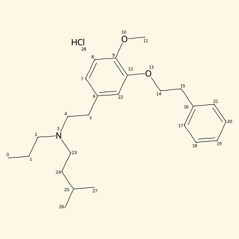 CCCN(CCc1ccc(OC)c(OCCc2ccccc2)c1)CCC(C)C.Cl